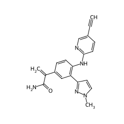 C#Cc1ccc(Nc2ccc(C(=C)C(N)=O)cc2-c2ccn(C)n2)nc1